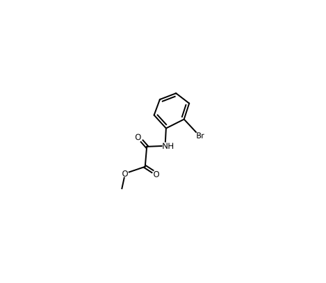 COC(=O)C(=O)Nc1ccccc1Br